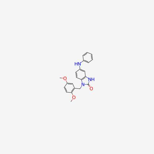 COc1ccc(OC)c(Cn2c(=O)[nH]c3cc(Nc4ccccc4)ccc32)c1